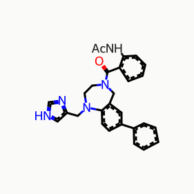 CC(=O)Nc1ccccc1C(=O)N1CCN(Cc2c[nH]cn2)c2ccc(-c3ccccc3)cc2C1